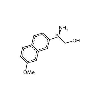 COc1ccc2ccc([C@@H](N)CO)cc2c1